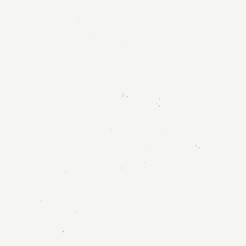 Clc1ccc(CNC(=Nc2c(Cl)cncc2Cl)c2cccc(OCOC3CCCC3)c2)cc1